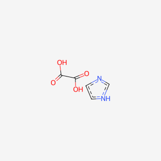 O=C(O)C(=O)O.c1c[nH]cn1